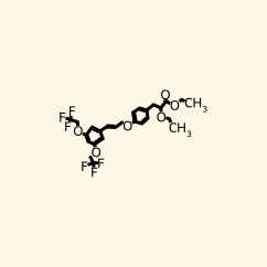 CCOC(=O)C(Cc1ccc(OCC=Cc2cc(OCC(F)(F)F)cc(OCC(F)(F)F)c2)cc1)OCC